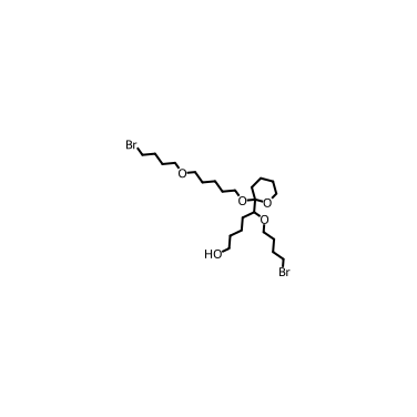 OCCCCC(OCCCCBr)C1(OCCCCCOCCCCBr)CCCCO1